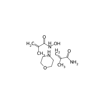 C1COCCN1.C=C(C)C(=O)NO.C=C(C)C(N)=O